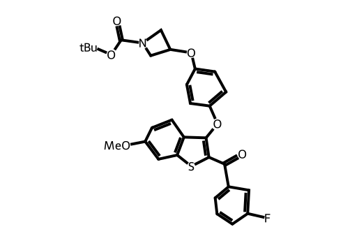 COc1ccc2c(Oc3ccc(OC4CN(C(=O)OC(C)(C)C)C4)cc3)c(C(=O)c3cccc(F)c3)sc2c1